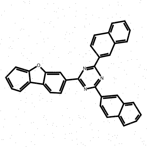 c1ccc2cc(-c3nc(-c4ccc5ccccc5c4)nc(-c4ccc5c(c4)oc4ccccc45)n3)ccc2c1